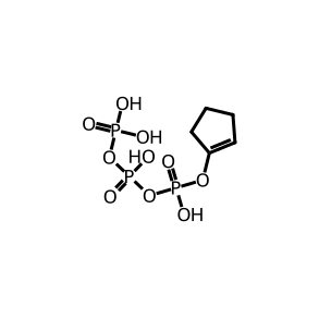 O=P(O)(O)OP(=O)(O)OP(=O)(O)OC1=CCCC1